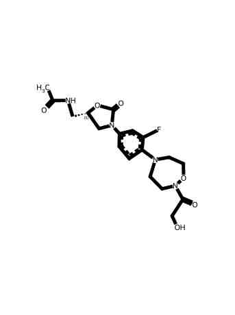 CC(=O)NC[C@H]1CN(c2ccc(N3CCON(C(=O)CO)CC3)c(F)c2)C(=O)O1